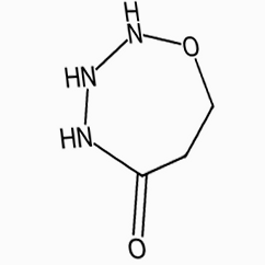 O=C1CCONNN1